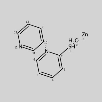 O.Sc1ccccn1.[Zn].c1ccncc1